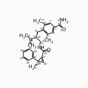 Cc1cc(C(N)=O)cc(C)c1C[C@@H](CNC(=O)C1=C[C@@]1(C)c1ccccc1)N(C)C